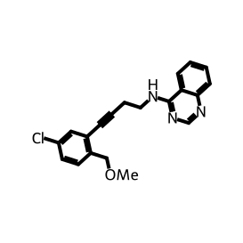 COCc1ccc(Cl)cc1C#CCCNc1ncnc2ccccc12